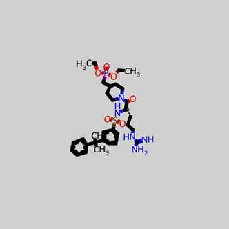 CCOP(=O)(CC1CCN(C(=O)[C@H](CCCNC(=N)N)NS(=O)(=O)c2cccc(C(C)(C)c3ccccc3)c2)CC1)OCC